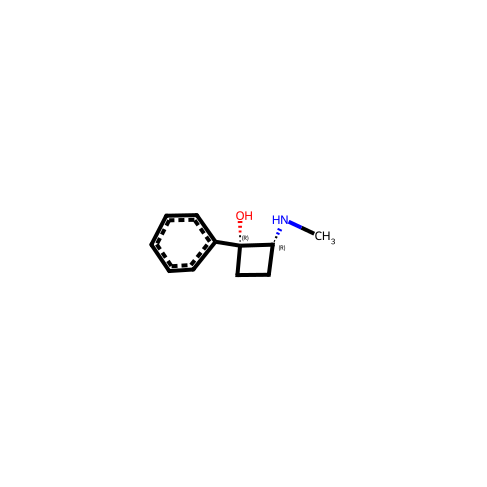 CN[C@@H]1CC[C@@]1(O)c1ccccc1